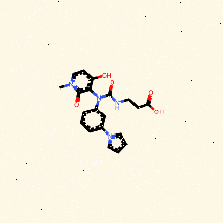 Cn1ccc(O)c(N(C(=O)NCCC(=O)O)c2cccc(-n3cccc3)c2)c1=O